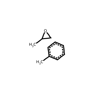 CC1CO1.Cc1ccccc1